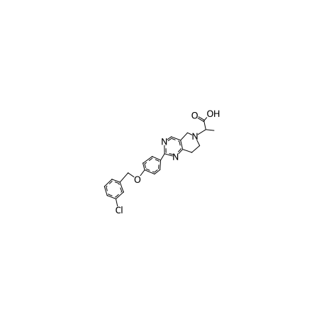 CC(C(=O)O)N1CCc2nc(-c3ccc(OCc4cccc(Cl)c4)cc3)ncc2C1